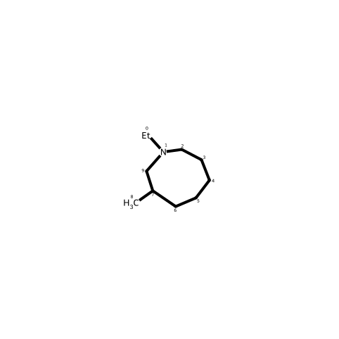 CCN1CCCCCC(C)C1